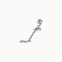 CCCCCC(C)CCCCCCOC(C)(C)C(=O)OCC(C)OC(C)CC